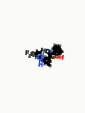 Cc1cc(Nc2nccc(C(F)(F)F)n2)cc(-c2cnc(C3(O)C4CC5CC(C4)C(C(=O)O)C3C5)s2)c1